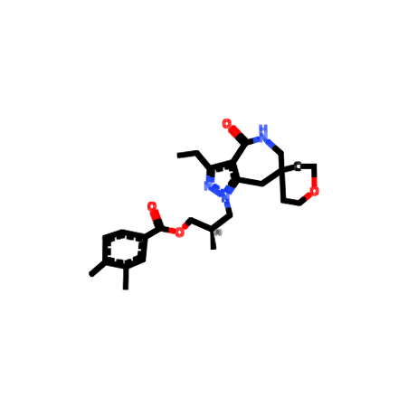 CCc1nn(C[C@@H](C)COC(=O)c2ccc(C)c(C)c2)c2c1C(=O)NCC1(CCOCC1)C2